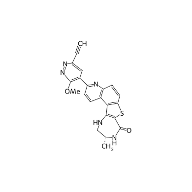 C#Cc1cc(-c2ccc3c(ccc4sc5c(c43)NC[C@@H](C)NC5=O)n2)c(OC)nn1